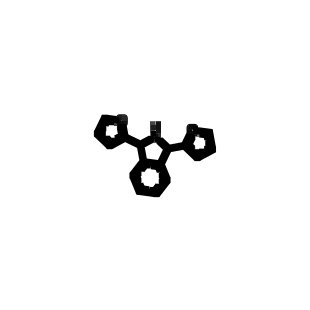 c1coc(C2NC(c3ccco3)c3ccccc32)c1